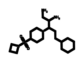 NCC(N)C(CCC1CCCCC1)N1CCC(S(=O)(=O)N2CCC2)CC1